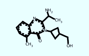 Cc1cccc2nc(C(C)N)n(C3CC(CO)C3)c(=O)c12